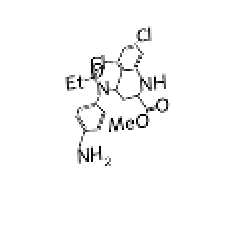 CCC(=O)N(c1ccc(CN)cc1)C1CC(C(=O)OC)Nc2cc(Cl)cc(Cl)c21